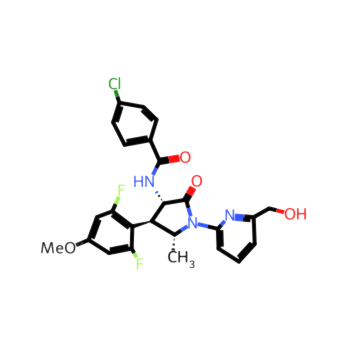 COc1cc(F)c([C@H]2[C@H](NC(=O)c3ccc(Cl)cc3)C(=O)N(c3cccc(CO)n3)[C@@H]2C)c(F)c1